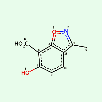 Cc1noc2c(C(=O)O)c(O)ccc12